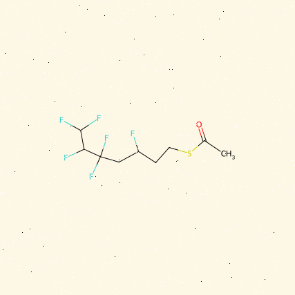 CC(=O)SCCC(F)CC(F)(F)C(F)C(F)F